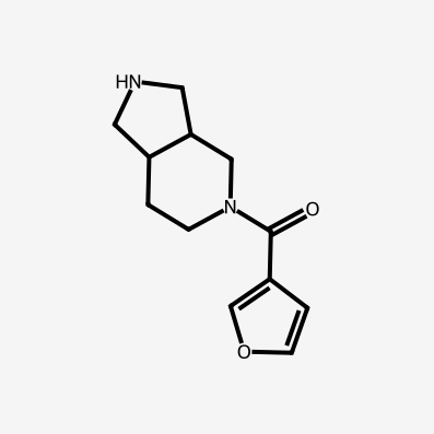 O=C(c1ccoc1)N1CCC2CNCC2C1